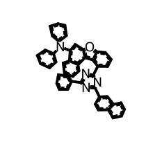 c1ccc(-c2nc(-c3ccc4ccccc4c3)nc(-c3cccc4oc5cc(N(c6ccccc6)c6ccccc6)c6ccccc6c5c34)n2)cc1